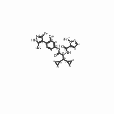 CCc1n[nH]c(CC)c1-c1ccc(NC(=O)[C@@H](NC(=O)c2ccnn2C(C)C)C(C2CC2)C2CC2)cc1O